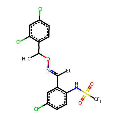 CC/C(=N\OC(C)c1ccc(Cl)cc1Cl)c1cc(Cl)ccc1NS(=O)(=O)C(F)(F)F